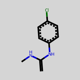 C=C(NC)Nc1ccc(Cl)cc1